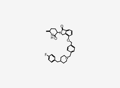 C=C1CCC(N2Cc3c(OCc4ccc(CN5CCC(Cc6ccc(F)cc6)CC5)cc4)cccc3C2=O)C(=O)N1